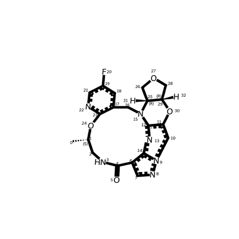 C[C@H]1CNC(=O)c2cnn3cc4c(nc23)N(Cc2cc(F)cnc2O1)[C@@H]1COC[C@@H]1O4